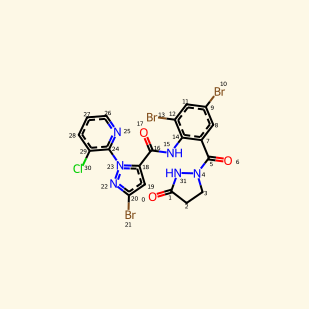 O=C1CCN(C(=O)c2cc(Br)cc(Br)c2NC(=O)c2cc(Br)nn2-c2ncccc2Cl)N1